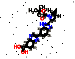 CC(C)(C)OC(=O)N1[C@@H]2C[C@@H]2C[C@H]1c1nc2ccc(-c3cnc4cc(B(O)O)ccc4n3)cc2[nH]1